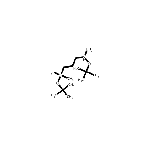 C[SiH](CCC[Si](C)(C)OC(C)(C)C)OC(C)(C)C